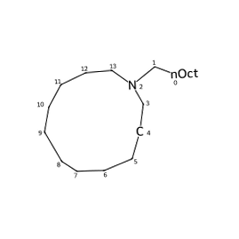 CCCCCCCCCN1CCCCCCCCCCC1